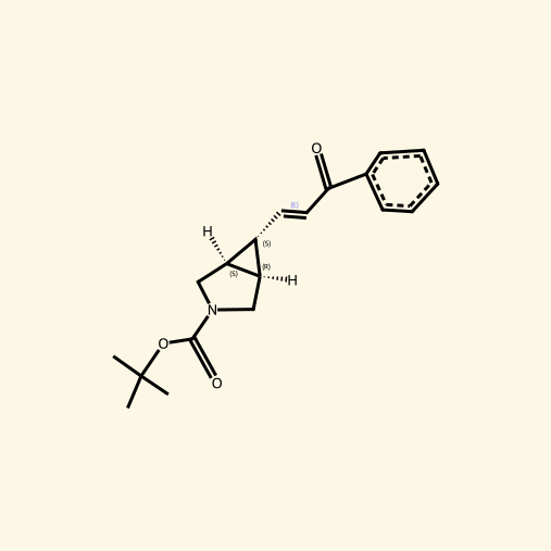 CC(C)(C)OC(=O)N1C[C@@H]2[C@@H](/C=C/C(=O)c3ccccc3)[C@@H]2C1